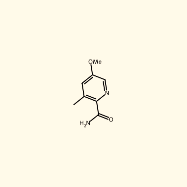 COc1cnc(C(N)=O)c(C)c1